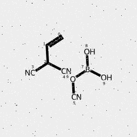 C=CC(C#N)C#N.N#COB(O)O